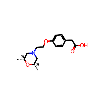 C[C@@H]1CN(CCOc2ccc(CC(=O)O)cc2)C[C@H](C)O1